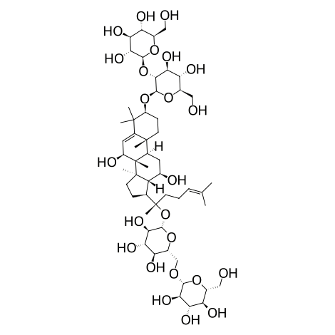 CC(C)=CCC[C@](C)(O[C@@H]1O[C@H](CO[C@@H]2O[C@H](CO)[C@@H](O)[C@H](O)[C@H]2O)[C@@H](O)[C@H](O)[C@H]1O)[C@H]1CC[C@]2(C)[C@@H]1[C@H](O)C[C@H]1[C@@]2(C)[C@@H](O)C=C2C(C)(C)[C@@H](O[C@@H]3O[C@H](CO)[C@@H](O)[C@H](O)[C@H]3O[C@@H]3O[C@H](CO)[C@@H](O)[C@H](O)[C@H]3O)CC[C@@]21C